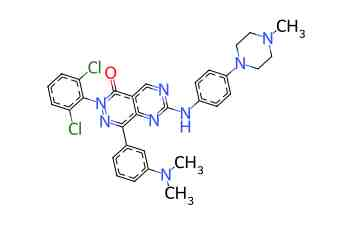 CN1CCN(c2ccc(Nc3ncc4c(=O)n(-c5c(Cl)cccc5Cl)nc(-c5cccc(N(C)C)c5)c4n3)cc2)CC1